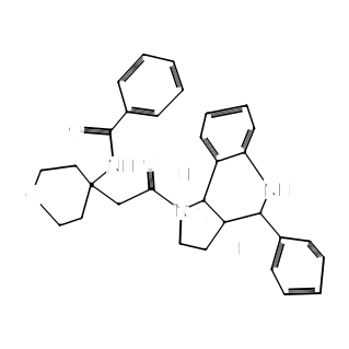 O=C(NC1(CC(=O)N2CC[C@@H]3C(c4ccccc4)Nc4ccccc4[C@@H]32)CCOCC1)c1ccccc1